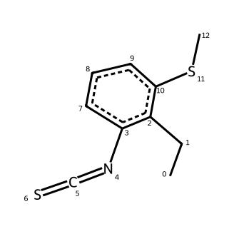 CCc1c(N=C=S)cccc1SC